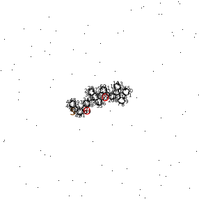 c1ccc(C2(c3ccccc3)c3ccccc3-c3c2ccc2oc4c(-c5c6ccccc6c(-c6ccc7c(c6)oc6ccc8sc9ccccc9c8c67)c6ccccc56)cccc4c32)cc1